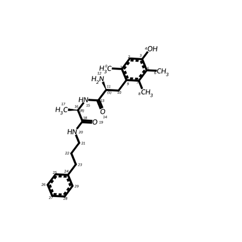 Cc1cc(O)c(C)c(C)c1C[C@H](N)C(=O)N[C@H](C)C(=O)NCCCc1ccccc1